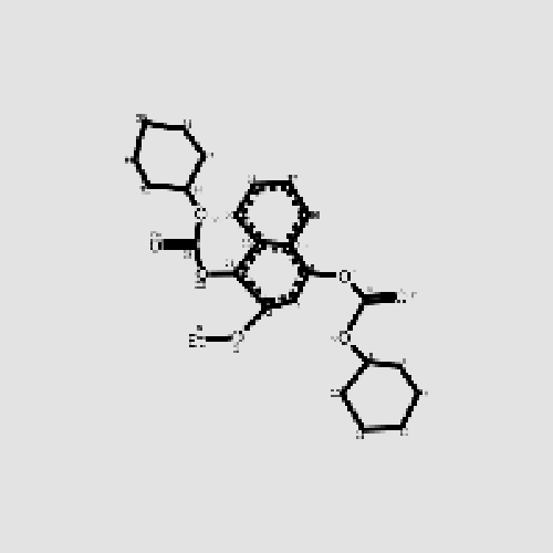 CCOc1cc(OC(=O)OC2CCCCC2)c2ccccc2c1OC(=O)OC1CCCCC1